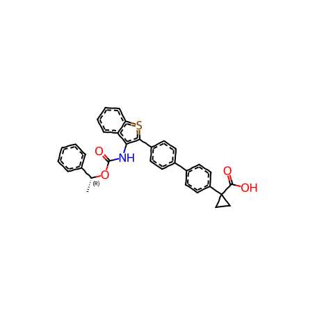 C[C@@H](OC(=O)Nc1c(-c2ccc(-c3ccc(C4(C(=O)O)CC4)cc3)cc2)sc2ccccc12)c1ccccc1